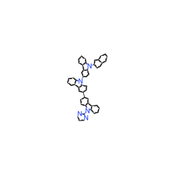 c1cnc(-n2c3ccccc3c3cc(-c4ccc5c(c4)c4ccccc4n5-c4ccc5c(c4)c4ccccc4n5-c4ccc5ccccc5c4)ccc32)nc1